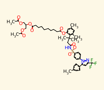 CC(=O)OCC(COC(C)=O)OC(=O)CCCCCCCCC(=O)Oc1cc(C)cc(C)c1C(C)(C)CC(=O)NS(=O)(=O)c1ccc(-n2nc(C(F)(F)F)cc2-c2ccc(C)cc2)cc1